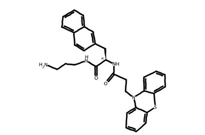 NCCCNC(=O)[C@@H](Cc1ccc2ccccc2c1)NC(=O)CCN1c2ccccc2Sc2ccccc21